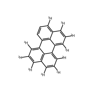 [2H]c1c([2H])c2c([2H])ccc3c4c([2H])c([2H])c([2H])c5c([2H])c([2H])c([2H])c(c(c1[2H])c23)c54